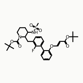 CC(C)(C)OC(=O)/C=C/Oc1ccccc1-c1cccc(CC2C(NS(C)(=O)=O)CCCN2C(=O)OC(C)(C)C)c1F